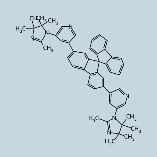 CC1=NC(C)(C)C(C)(C)N1c1cncc(-c2ccc3c(c2)C2(c4ccccc4-c4ccccc42)c2cc(-c4cncc(N5C(C)=NC(C)(C)C5(C)C)c4)ccc2-3)c1